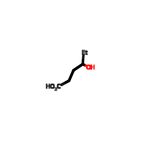 CCC(O)CCC(=O)O